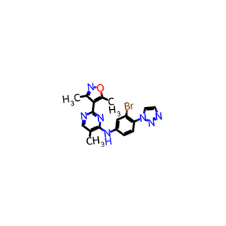 Cc1cnc(-c2c(C)noc2C)nc1Nc1ccc(-n2ccnn2)c(Br)c1